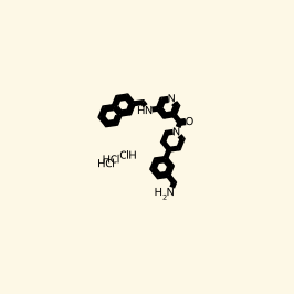 Cl.Cl.Cl.NCc1cccc(C2CCN(C(=O)c3cncc(NCc4ccc5ccccc5c4)c3)CC2)c1